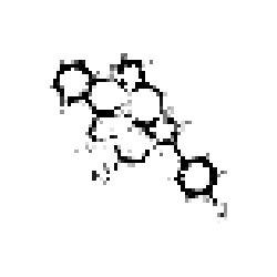 COCC(=O)c1ncccc1-n1cnc(Cn2nc(-c3ccc(Cl)cc3)n(C[C@H](O)C(F)(F)F)c2=O)n1